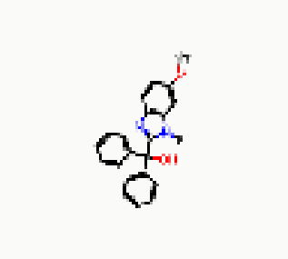 CCCOc1ccc2nc(C(O)(c3ccccc3)c3ccccc3)n(CC)c2c1